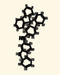 c1ccc2c(c1)-c1ccccc1C21c2ccccc2-c2ccc(Nc3ccc4c(c3)sc3ccccc34)cc21